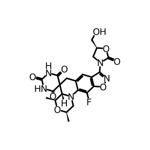 C[C@@H]1CN2c3c(cc4c(N5C[C@@H](CO)OC5=O)noc4c3F)CC3(C(=O)NC(=O)NC3=O)[C@H]2[C@H](C)O1